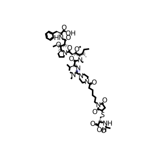 CC[C@H](C)[C@@H]([C@@H](CC(=O)N1CCC[C@H]1[C@H](OC)[C@@H](C)C(=O)N[C@@H](Cc1ccccc1)C(=O)O)OC)N(C)C(=O)[C@@H](/N=C(\N(C)C)N1CCN(C(=O)CCCCCN2C(=O)CC(SC[C@H](NC(C)=O)C(=O)O)C2=O)CC1)C(C)C